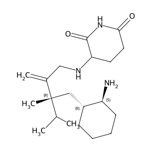 C=C(CNC1CCC(=O)NC1=O)[C@](C)(C[C@H]1CCCC[C@@H]1N)C(C)C